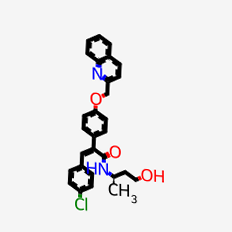 C[C@@H](CCO)NC(=O)C(=Cc1ccc(Cl)cc1)c1ccc(OCc2ccc3ccccc3n2)cc1